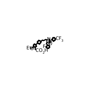 CCOc1ccc(-c2ccc(CCCc3nn(-c4ccc(C(F)(F)F)cc4)c(=O)n3Cc3ccccc3F)cc2)cc1CC(=O)O